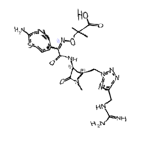 CN1C(=O)[C@@H](NC(=O)/C(=N\OC(C)(C)C(=O)O)c2csc(N)n2)[C@H]1Cn1nnc(CNC(=N)N)n1